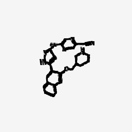 N#Cc1cnc(Nc2cc(-c3cc4ccccc4cc3OCC3CCCNC3)[nH]n2)cn1